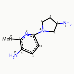 CNc1nc(N2CCC(N)C2)ccc1N